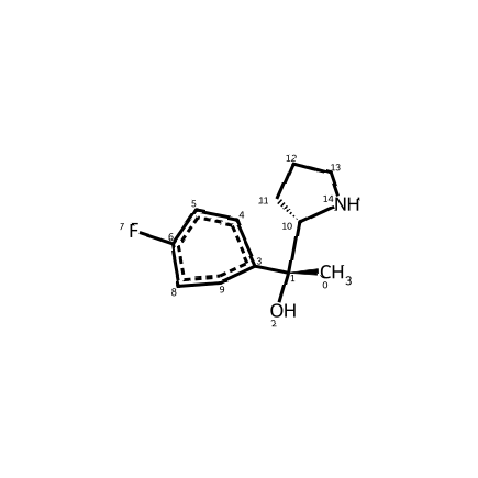 C[C@@](O)(c1ccc(F)cc1)[C@@H]1CCCN1